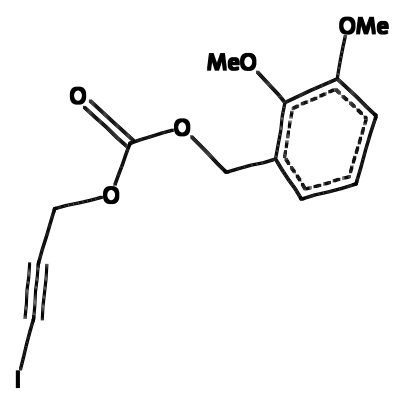 COc1cccc(COC(=O)OCC#CI)c1OC